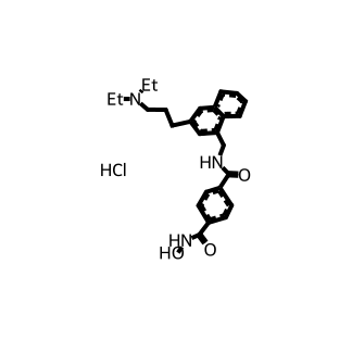 CCN(CC)CCCc1cc(CNC(=O)c2ccc(C(=O)NO)cc2)c2ccccc2c1.Cl